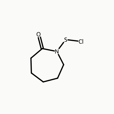 O=C1CCCCCN1SCl